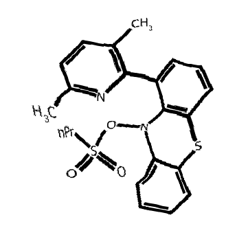 CCCS(=O)(=O)ON1c2ccccc2Sc2cccc(-c3nc(C)ccc3C)c21